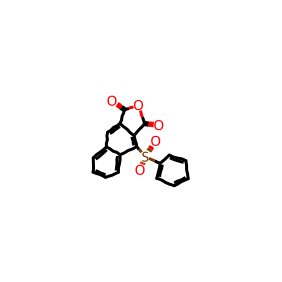 O=C1OC(=O)c2c1cc1ccccc1c2S(=O)(=O)c1ccccc1